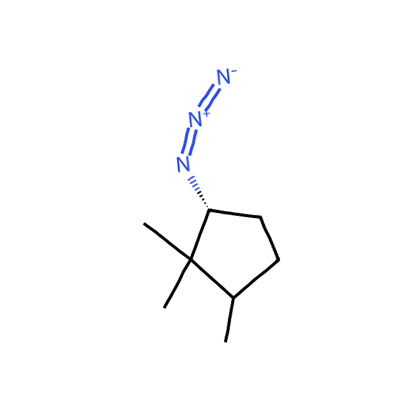 CC1CC[C@@H](N=[N+]=[N-])C1(C)C